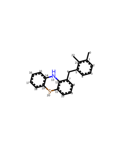 Cc1cccc(Cc2cccc3c2Nc2ccccc2S3)c1C